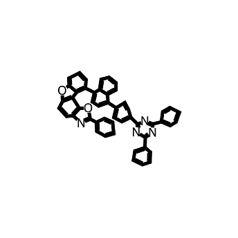 c1ccc(-c2nc(-c3ccccc3)nc(-c3ccc(-c4ccc(-c5cccc6oc7ccc8nc(-c9ccccc9)oc8c7c56)c5ccccc45)cc3)n2)cc1